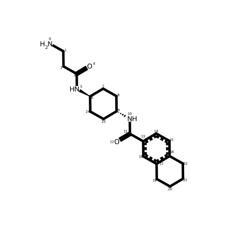 NCCC(=O)N[C@H]1CC[C@H](NC(=O)c2ccc3c(c2)CCCC3)CC1